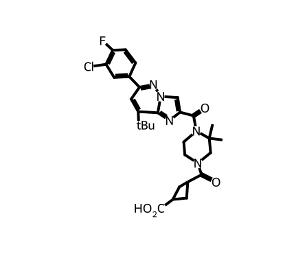 CC(C)(C)c1cc(-c2ccc(F)c(Cl)c2)nn2cc(C(=O)N3CCN(C(=O)C4CC(C(=O)O)C4)CC3(C)C)nc12